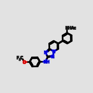 CC(=O)Nc1cccc(-c2ccc3nc(Nc4ccc(OC(F)(F)F)cc4)nn3c2)c1